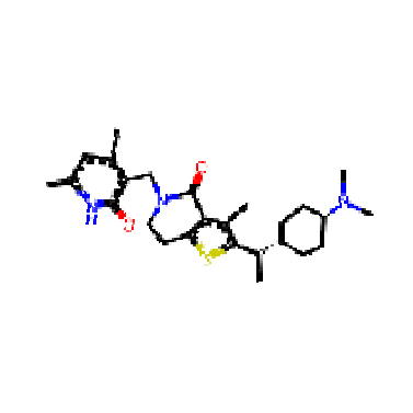 Cc1cc(C)c(CN2CCc3sc(C(C)[C@H]4CC[C@H](N(C)C)CC4)c(C)c3C2=O)c(=O)[nH]1